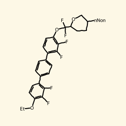 CCCCCCCCCC1CCC(C(F)(F)Oc2ccc(-c3ccc(-c4ccc(OCC)c(F)c4F)cc3)c(F)c2F)OC1